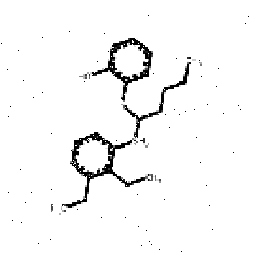 CCCCC([SiH2]c1cccc(CC)c1CC)Sc1ccccc1O